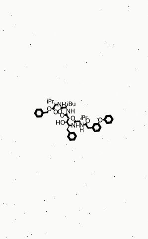 CC[C@H](C)[C@H](NC(=O)C[C@H](O)[C@H](Cc1ccccc1)NC(=O)[C@@H](NC(=O)Cc1cccc(Oc2ccccc2)c1)C(C)C)C(=O)N[C@H](C(=O)OCc1ccccc1)C(C)C